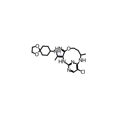 C/C(NC1CCC2(CC1)OCCO2)=C1\Nc2ncc(Cl)c(n2)NC(C)CCOC1=N